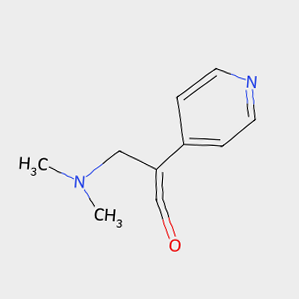 CN(C)CC(=C=O)c1ccncc1